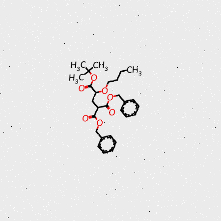 CCCCOC(CC(C(=O)OCc1ccccc1)C(=O)OCc1ccccc1)C(=O)OC(C)(C)C